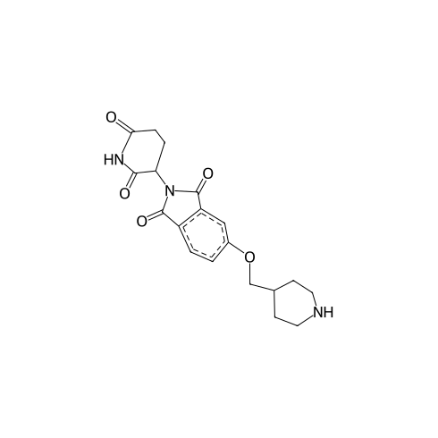 O=C1CCC(N2C(=O)c3ccc(OCC4CCNCC4)cc3C2=O)C(=O)N1